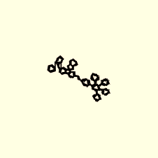 C(=C\c1ccc2c(c1)C1(Cc3ccccc3C1)c1cc(N(c3ccccc3)c3ccccc3)ccc1-2)/c1ccc(-c2cc(-c3ccccc3)c(-c3ccccc3)c(-c3ccccc3)c2-c2ccccc2)cc1